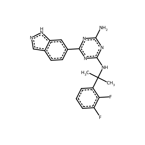 CC(C)(Nc1nc(N)nc(-c2ccc3cn[nH]c3c2)n1)c1cccc(F)c1F